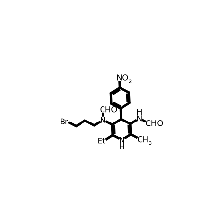 CCC1=C(N(C=O)CCCBr)C(c2ccc([N+](=O)[O-])cc2)C(NC=O)=C(C)N1